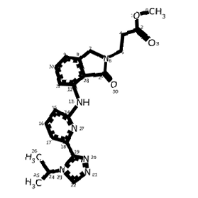 COC(=O)CCN1Cc2cccc(Nc3cccc(-c4nncn4C(C)C)n3)c2C1=O